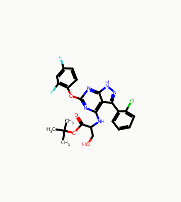 CC(C)(C)OC(=O)C(CO)Nc1nc(Oc2ccc(F)cc2F)nc2[nH]nc(-c3ccccc3Cl)c12